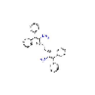 NC(BCCBC(N)=C(c1ccccc1)c1ccccc1)=C(c1ccccc1)c1ccccc1